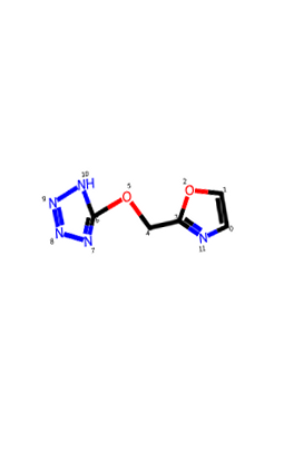 c1coc(COc2nnn[nH]2)n1